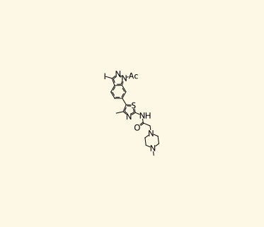 CC(=O)n1nc(I)c2ccc(-c3sc(NC(=O)CN4CCN(C)CC4)nc3C)cc21